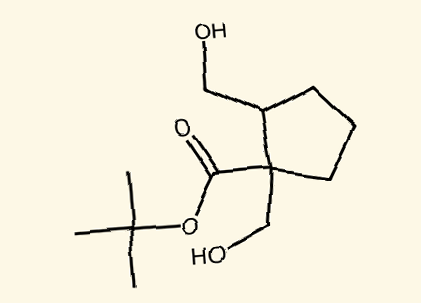 CC(C)(C)OC(=O)C1(CO)CCCC1CO